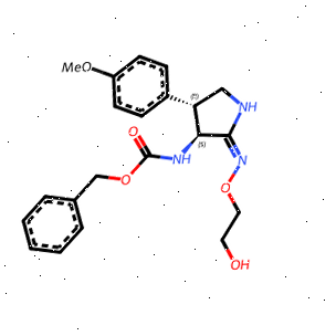 COc1ccc([C@@H]2CNC(=NOCCO)[C@H]2NC(=O)OCc2ccccc2)cc1